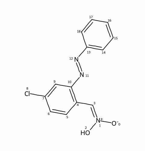 [O-][N+](O)=Cc1ccc(Cl)cc1N=Nc1ccccc1